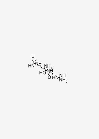 N=C(N)NCCC[C@@H](N)C(O)N[C@@H](C=O)CCCNC(=N)N